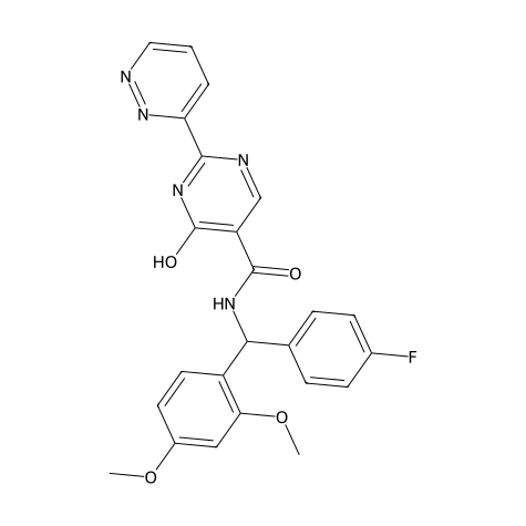 COc1ccc(C(NC(=O)c2cnc(-c3cccnn3)nc2O)c2ccc(F)cc2)c(OC)c1